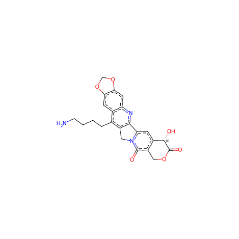 NCCCCc1c2c(nc3cc4c(cc13)OCO4)-c1cc3c(c(=O)n1C2)COC(=O)[C@H]3O